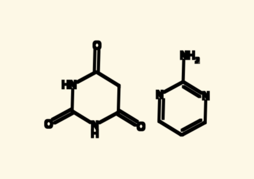 Nc1ncccn1.O=C1CC(=O)NC(=O)N1